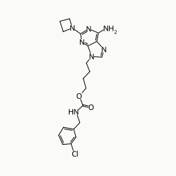 Nc1nc(N2CCC2)nc2c1ncn2CCCCOC(=O)NCc1cccc(Cl)c1